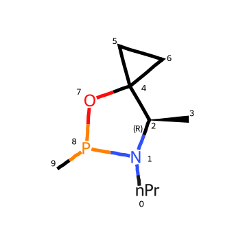 CCCN1[C@H](C)C2(CC2)OP1C